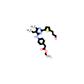 CCOC(=O)Cc1ccc(Nc2nc(-c3ccc(CCC=O)s3)nc(C)c2CC)cc1